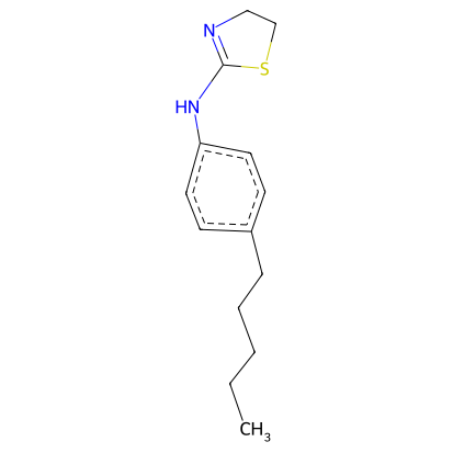 CCCCCc1ccc(NC2=NCCS2)cc1